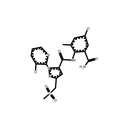 Cc1cc(Cl)cc(C(N)=O)c1NC(=O)c1cc(CS(C)(=O)=O)nn1-c1ncccc1Cl